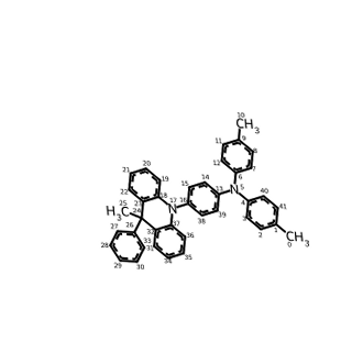 Cc1ccc(N(c2ccc(C)cc2)c2ccc(N3c4ccccc4C(C)(c4ccccc4)c4ccccc43)cc2)cc1